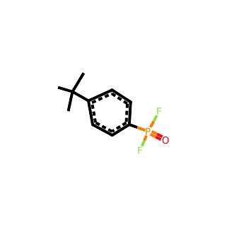 CC(C)(C)c1ccc(P(=O)(F)F)cc1